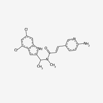 CC(c1cc2c(Cl)cc(Cl)cc2[nH]1)N(C)C(=O)C=Cc1ccc(N)nc1